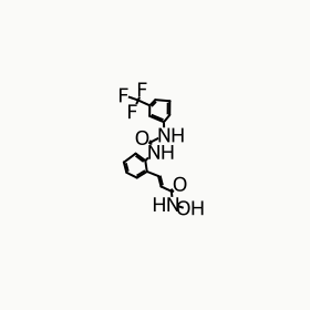 O=C(C=Cc1ccccc1NC(=O)Nc1cccc(C(F)(F)F)c1)NO